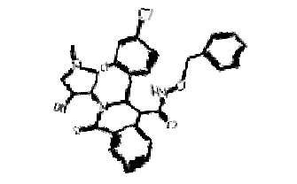 CN1CC(N=O)C(N2C(=O)c3ccccc3C(C(=O)NOCc3ccccc3)C2c2ccc(Cl)cc2Cl)C1